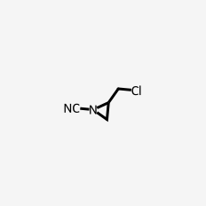 N#CN1CC1CCl